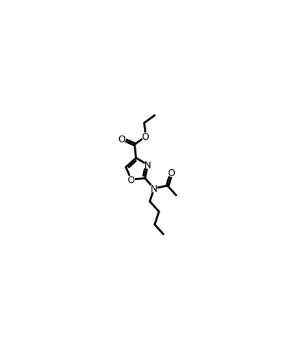 CCCCN(C(C)=O)c1nc(C(=O)OCC)co1